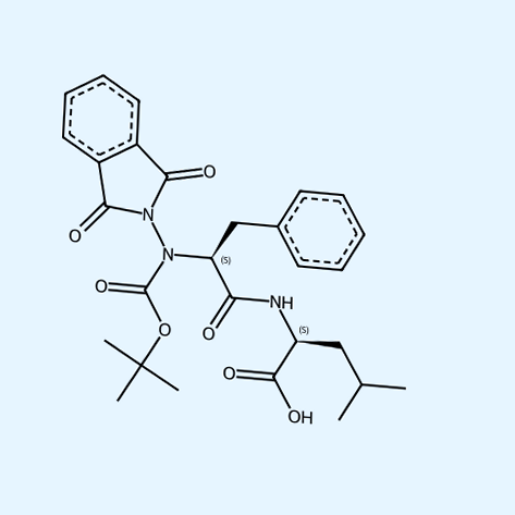 CC(C)C[C@H](NC(=O)[C@H](Cc1ccccc1)N(C(=O)OC(C)(C)C)N1C(=O)c2ccccc2C1=O)C(=O)O